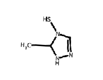 CC1NN=CN1S